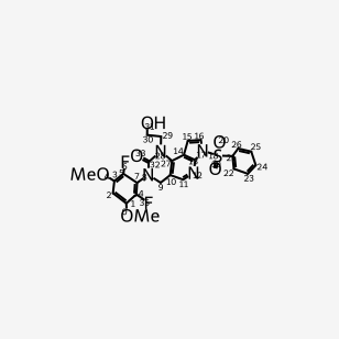 COc1cc(OC)c(F)c(N2Cc3cnc4c(ccn4S(=O)(=O)c4ccccc4)c3N(CCO)C2=O)c1F